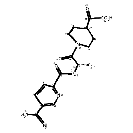 C[C@H](NC(=O)c1ccc(C(=N)N)cn1)C(=O)N1CCC(C(=O)C(=O)O)CC1